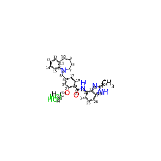 COc1cc(CN2CCCCc3ccccc32)ccc1C(=O)Nc1cccc2[nH]c(C)nc12.Cl.Cl